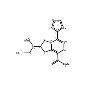 COC(=O)C1=C2CC(N(CC(=O)O)SC)CN2C(c2nccs2)=NC1